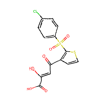 O=C(O)/C(O)=C/C(=O)c1ccsc1S(=O)(=O)c1ccc(Cl)cc1